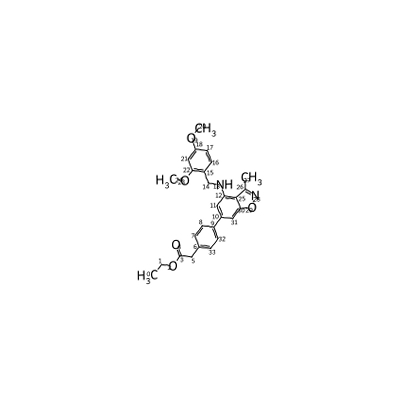 CCOC(=O)Cc1ccc(-c2cc(NCc3ccc(OC)cc3OC)c3c(C)noc3c2)cc1